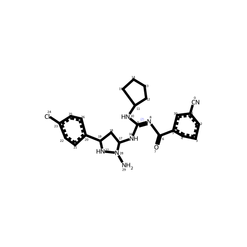 N#Cc1cccc(C(=O)/N=C(/NC2CCCC2)NC2CC(c3ccc(Cl)cc3)NN2N)c1